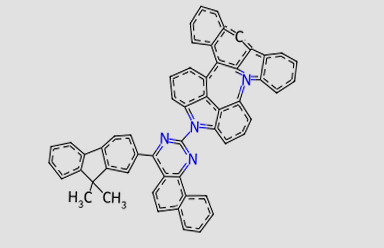 CC1(C)c2ccccc2-c2ccc(-c3nc(-n4c5cccc6c5c5c4cccc5n4c5ccccc5c5cc7ccccc7c6c54)nc4c3ccc3ccccc34)cc21